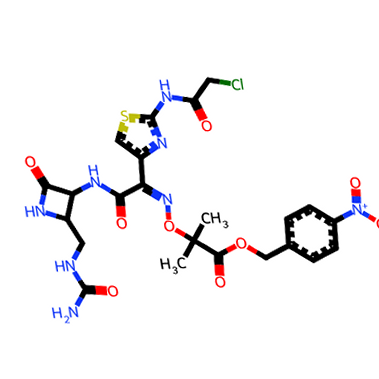 CC(C)(O/N=C(\C(=O)NC1C(=O)NC1CNC(N)=O)c1csc(NC(=O)CCl)n1)C(=O)OCc1ccc([N+](=O)[O-])cc1